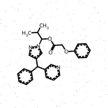 CC(C)C(OC(=O)COc1ccccc1)n1cc(C(c2ccccc2)c2cccnc2)cn1